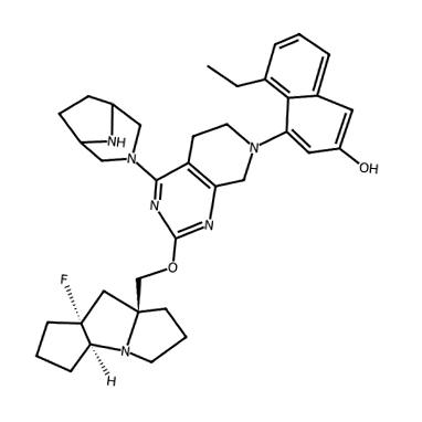 CCc1cccc2cc(O)cc(N3CCc4c(nc(OC[C@@]56CCCN5[C@H]5CCC[C@@]5(F)C6)nc4N4CC5CCC(C4)N5)C3)c12